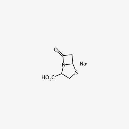 O=C(O)C1CSC2CC(=O)N21.[Na]